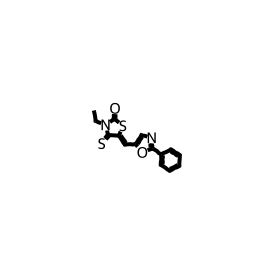 CCN1C(=O)S/C(=C\c2cnc(-c3ccccc3)o2)C1=S